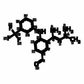 CN(N)/N=C(\N)c1cc(C=O)ccc1Nc1cccc(C(F)(F)F)c1